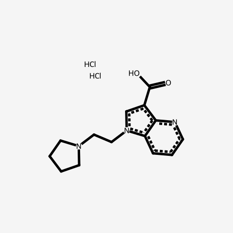 Cl.Cl.O=C(O)c1cn(CCN2CCCC2)c2cccnc12